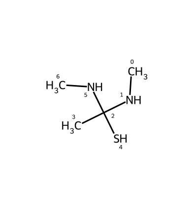 CNC(C)(S)NC